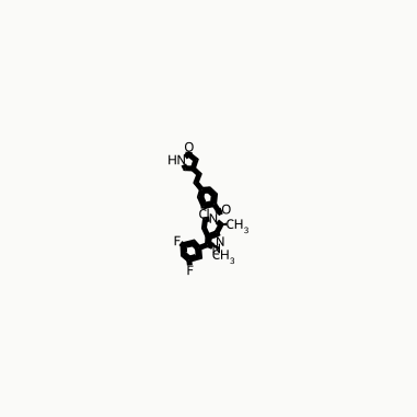 C[C@H]1c2nn(C)c(-c3cc(F)cc(F)c3)c2CCN1C(=O)c1ccc(CCC2CNC(=O)C2)cc1Cl